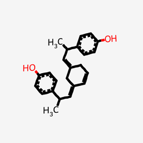 CC(C=C1C=CCC(=CC(C)c2ccc(O)cc2)C1)c1ccc(O)cc1